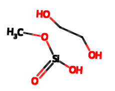 CO[Si](=O)O.OCCO